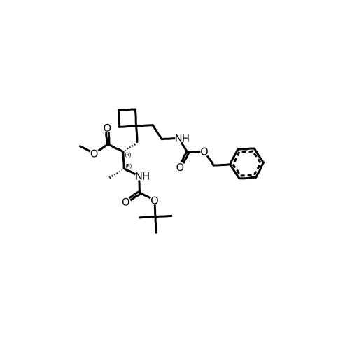 COC(=O)[C@H](CC1(CCNC(=O)OCc2ccccc2)CCC1)[C@@H](C)NC(=O)OC(C)(C)C